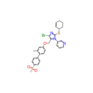 Cc1cc(OCc2c(Br)nc(SC3C=CCCC3)n2-c2cccnc2)ccc1-c1ccc(S(C)(=O)=O)cc1